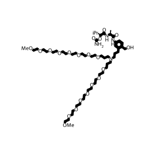 COCCOCCOCCOCCOCCOCCOCCOCCCN(CCCOCCOCCOCCOCCOCCOCCOCCOC)CCCc1cc(NC(=O)[C@H](C)NC(=O)[C@@H](OC(N)=O)C(C)C)ccc1CO